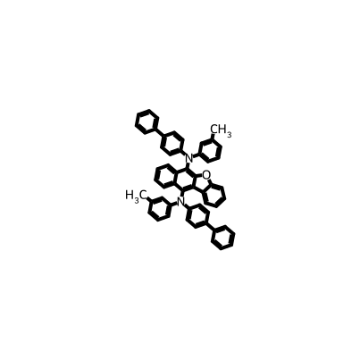 Cc1cccc(N(c2ccc(-c3ccccc3)cc2)c2c3ccccc3c(N(c3ccc(-c4ccccc4)cc3)c3cccc(C)c3)c3c2oc2ccccc23)c1